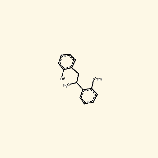 CCCCCc1ccccc1C(C)Cc1ccccc1O